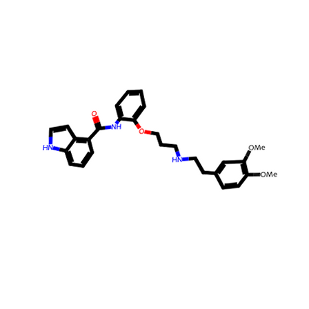 COc1ccc(CCNCCCOc2ccccc2NC(=O)c2cccc3[nH]ccc23)cc1OC